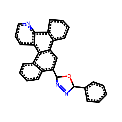 c1ccc(C2N=NC(c3cc4c5ccccc5c5ncccc5c4c4ccccc34)O2)cc1